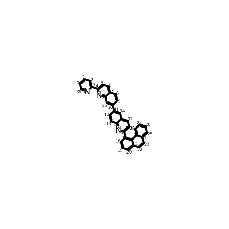 c1ccc(-c2ccc3ccc(-c4ccc5nc(-c6cccc7ccc8ccccc8c67)ccc5c4)cc3n2)nc1